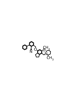 COc1cc(OCc2cccc(-c3ccccc3)c2C#N)c2c(c1CN1CCCCC1C)CCC2